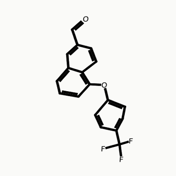 O=Cc1ccc2c(Oc3ccc(C(F)(F)F)cc3)cccc2c1